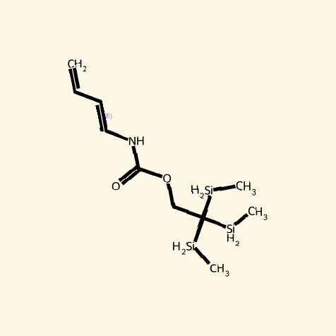 C=C/C=C/NC(=O)OCC([SiH2]C)([SiH2]C)[SiH2]C